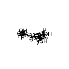 CCC(O)(CC)C12CC3CC(C(=O)OCCC(F)(F)C(F)(F)S(=O)(=O)O)(C1)CC(C(O)(CC)CC)(C3)C2